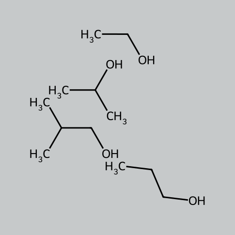 CC(C)CO.CC(C)O.CCCO.CCO